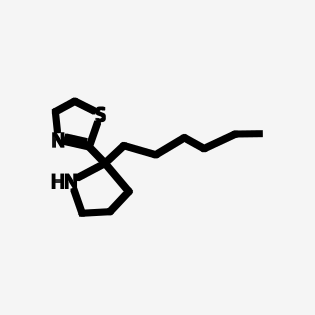 CCCCCCC1(C2=NCCS2)CCCN1